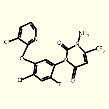 Nn1c(C(F)(F)F)cc(=O)n(-c2cc(Oc3ncccc3Cl)c(Cl)cc2F)c1=O